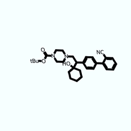 CC(C)(C)OC(=O)N1CCN(CC(c2ccc(-c3ccccc3C#N)cc2)C2(O)CCCCC2)CC1